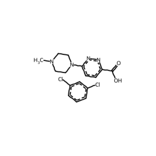 CN1CCN(c2ccc(C(=O)O)nn2)CC1.Clc1cccc(Cl)c1